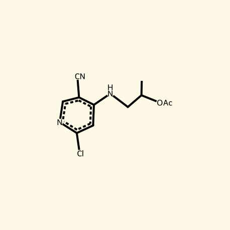 CC(=O)OC(C)CNc1cc(Cl)ncc1C#N